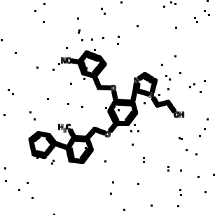 Cc1c(COc2ccc(-c3nccn3CCO)c(OCc3cccc(C#N)c3)c2)cccc1-c1ccccc1